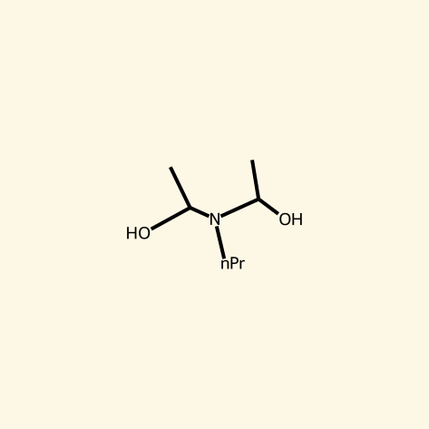 CCCN(C(C)O)C(C)O